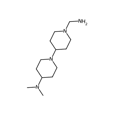 CN(C)C1CCN(C2CCN(CN)CC2)CC1